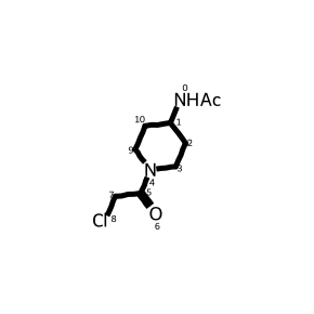 CC(=O)NC1CCN(C(=O)CCl)CC1